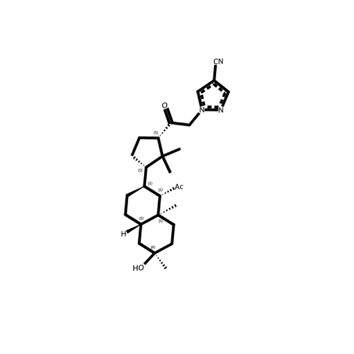 CC(=O)[C@H]1[C@H]([C@@H]2CC[C@H](C(=O)Cn3cc(C#N)cn3)C2(C)C)CC[C@H]2C[C@](C)(O)CC[C@@]21C